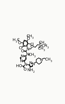 CCN1CCC(n2cc(N)c(N(C(=O)O)c3cc(N(C)C(=O)N(COCC[Si](C)(C)C)c4c(Cl)c(OC)cc(OC)c4Cl)ncn3)n2)CC1